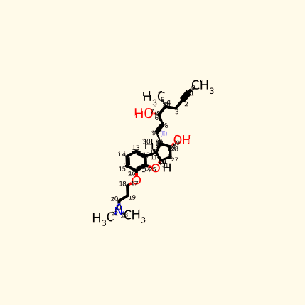 CC#CC[C@@H](C)[C@H](O)/C=C/[C@@H]1[C@H]2c3cccc(OCCCN(C)C)c3O[C@H]2C[C@H]1O